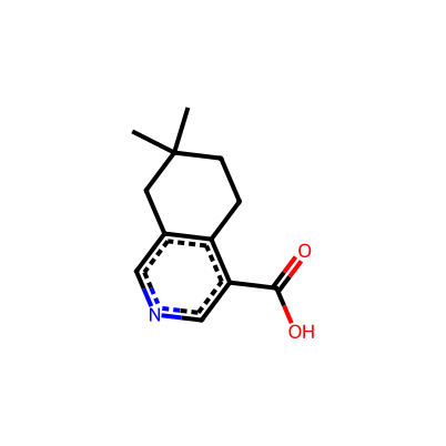 CC1(C)CCc2c(cncc2C(=O)O)C1